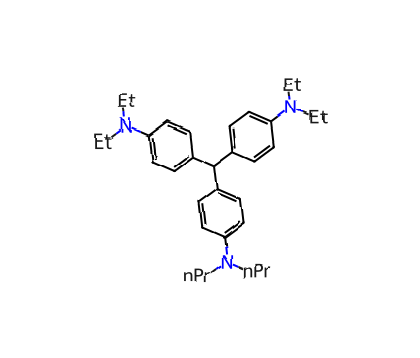 CCCN(CCC)c1ccc(C(c2ccc(N(CC)CC)cc2)c2ccc(N(CC)CC)cc2)cc1